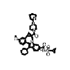 COc1ccc2c(c1)C1CC1(C(=O)N1CCN(c3ccccn3)CC1)Cn1c-2c(C2CCCCC2)c2ccc(C(=O)NS(=O)(=O)C3CC3)cc21